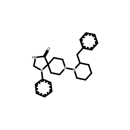 O=C1NCN(c2ccccc2)C12CCN(N1CCCCC1Cc1ccccc1)CC2